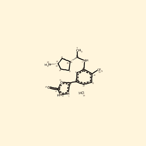 CC(Nc1cc(-c2n[nH]c(=O)o2)ccc1C(F)(F)F)[C@@H]1CC[C@H](N)C1.Cl